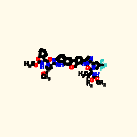 COC[C@H]1C[C@@H](c2nc3ccc4cc5c(cc4c3[nH]2)OCc2cc(-c3cnc([C@@H]4C[C@H](C(F)(F)F)CN4C(=O)C(NC(=O)OC)C(C)C)[nH]3)ccc2-5)N(C(=O)[C@H](NC(=O)OC)c2ccccc2)C1